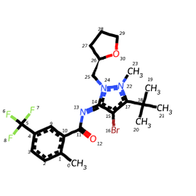 Cc1ccc(C(F)(F)F)cc1C(=O)/N=c1\c(Br)c(C(C)(C)C)n(C)n1C[C@H]1CCCO1